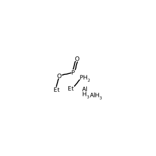 CCOP=O.CCP.[AlH3].[AlH3]